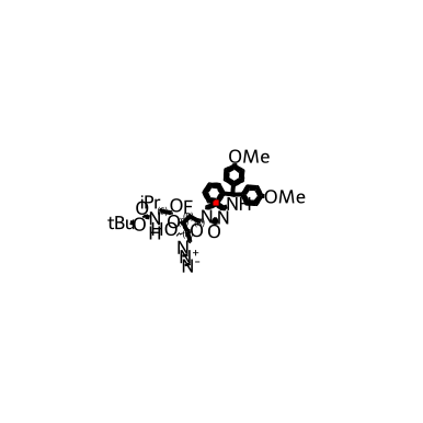 COc1ccc(C(Nc2ccn([C@@H]3O[C@@](CO)(CN=[N+]=[N-])[C@@H](OC(=O)[C@@H](NC(=O)OC(C)(C)C)C(C)C)[C@H]3F)c(=O)n2)(c2ccccc2)c2ccc(OC)cc2)cc1